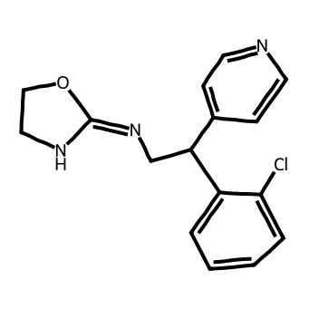 Clc1ccccc1C(CN=C1NCCO1)c1ccncc1